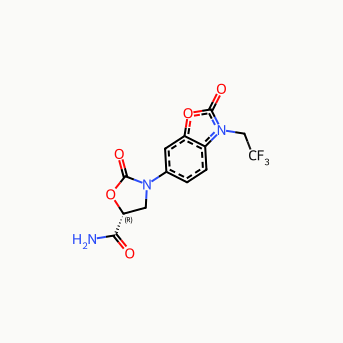 NC(=O)[C@H]1CN(c2ccc3c(c2)oc(=O)n3CC(F)(F)F)C(=O)O1